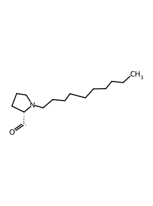 CCCCCCCCCCN1CCC[C@H]1[C]=O